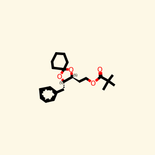 CC(C)(C)C(=O)OCC[C@@H]1OC2(CCCCC2)O[C@H]1Cc1ccccc1